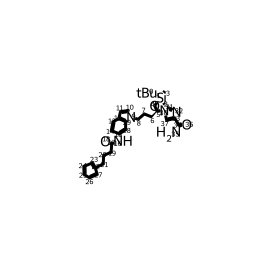 CC(C)(C)[Si](C)(C)O[C@H](CCCn1ccc2ccc(NC(=O)CCCc3ccccc3)cc21)n1cnc(C(N)=O)c1